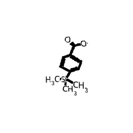 C[Si](C)(C)c1ccc(C([O])=O)cc1